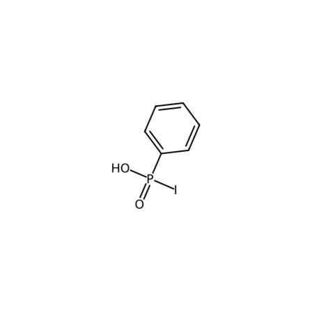 O=P(O)(I)c1ccccc1